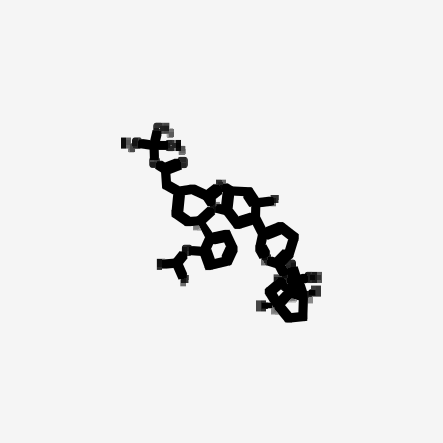 CC(C)(C)OC(=O)CC1=CC[C@H](c2ccccc2OC(F)F)n2c(nc3cc(F)c(C4=CCC=C(N5C[C@H]6CC[C@@H](C5)[C@@H]6C(=O)O)N=C4)cc32)C1